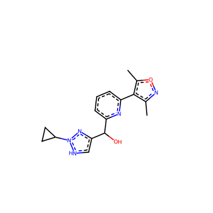 Cc1noc(C)c1-c1cccc(C(O)c2c[nH][n+](C3CC3)n2)n1